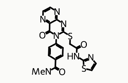 CNC(=O)c1ccc(-n2c(SCC(=O)Nc3nccs3)nc3nccnc3c2=O)cc1